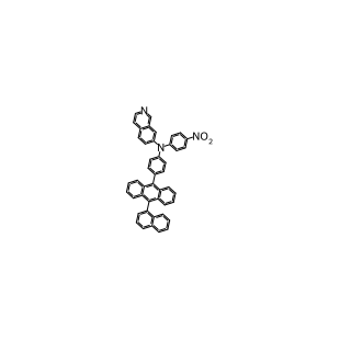 O=[N+]([O-])c1ccc(N(c2ccc(-c3c4ccccc4c(-c4cccc5ccccc45)c4ccccc34)cc2)c2ccc3ccncc3c2)cc1